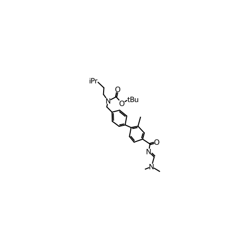 Cc1cc(C(=O)N=CN(C)C)ccc1-c1ccc(CN(CCC(C)C)C(=O)OC(C)(C)C)cc1